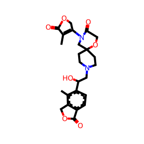 CC1=C(N2CC3(CCN(CC(O)c4ccc5c(c4C)COC5=O)CC3)OCC2=O)COC1=O